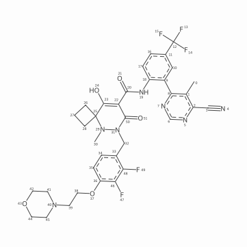 Cc1c(C#N)ncnc1-c1cc(C(F)(F)F)ccc1NC(=O)C1=C(O)C2(CCC2)N(C)N(Cc2ccc(OCCN3CCOCC3)c(F)c2F)C1=O